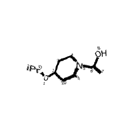 CC(C)OC1CCN(C(C)O)CC1